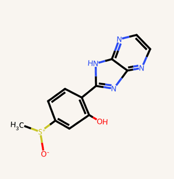 C[S+]([O-])c1ccc(-c2nc3nccnc3[nH]2)c(O)c1